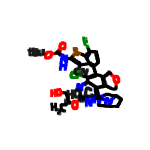 C[C@@H](CO)Oc1nc(N2C3CCC2CN(C(=O)O)C3)c2c3c(c(-c4ccc(F)c5sc(NC(=O)OC(C)(C)C)c(C#N)c45)c(Cl)c2n1)COC3